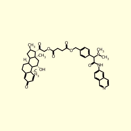 C[C@@H]1CC2[C@@H]3CCC4=CC(=O)C=C[C@]4(C)C3[C@@H](O)C[C@]2(C)[C@H]1C(=O)COC(=O)CCC(=O)OCc1ccc(C(C(=O)Nc2ccc3cnccc3c2)N(C)C)cc1